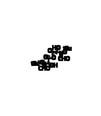 CC(C)(C)ON(C=O)C(O)C(=O)OC(=O)C(O)N(C=O)OC(C)(C)C